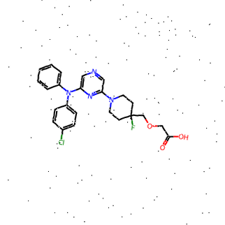 O=C(O)COCC1(F)CCN(c2cncc(N(c3ccccc3)c3ccc(Cl)cc3)n2)CC1